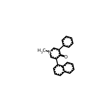 Cn1cc(-c2ccccc2)c(=O)c(-c2cccc3ccccc23)c1